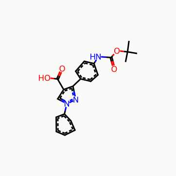 CC(C)(C)OC(=O)Nc1ccc(-c2nn(-c3ccccc3)cc2C(=O)O)cc1